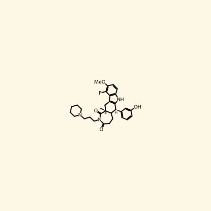 COc1ccc2[nH]c3c(c2c1F)C[C@@]1(C)C(=O)N(CCCN2CCCCC2)C(=O)CCC1[C@@H]3c1cccc(O)c1